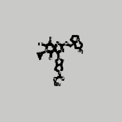 CC(C)(C)OC(=O)N1CC2CN(c3nc(OC[C@@]45CCCN4C[C@H](F)C5)nc4c(F)c(Cl)n(C5CC5)c(=O)c34)CC2C1